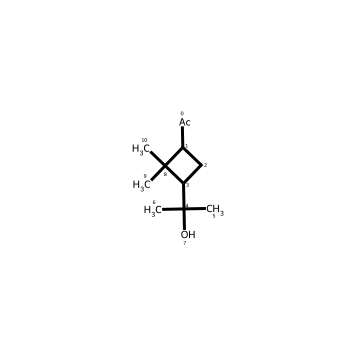 CC(=O)C1CC(C(C)(C)O)C1(C)C